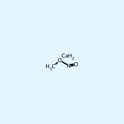 CON=O.[CaH2]